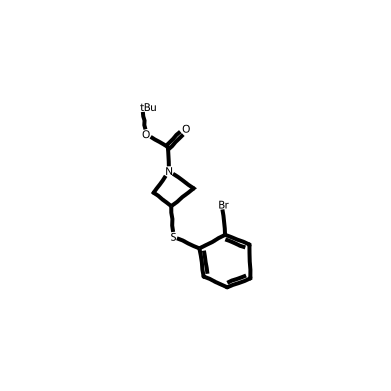 CC(C)(C)OC(=O)N1CC(Sc2ccccc2Br)C1